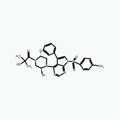 Cc1ccc(S(=O)(=O)n2cc(-c3ccccc3)c3c(N4C[C@@H](C)N(C(=O)C(C)(C)O)C[C@@H]4C(C)C)ncnc32)cc1